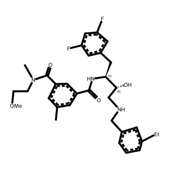 CCc1cccc(CNC[C@@H](O)[C@H](Cc2cc(F)cc(F)c2)NC(=O)c2cc(C)cc(C(=O)N(C)CCOC)c2)c1